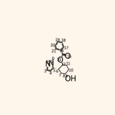 Cn1nccc1[C@H]1C[C@@H](O)CC[C@@H]1OC(=O)c1ccccc1